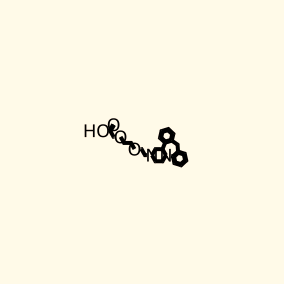 O=C(O)COCCOCCN1CCN2c3ccccc3Cc3ccccc3C2C1